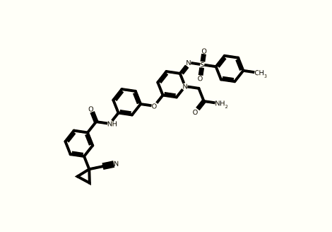 Cc1ccc(S(=O)(=O)N=c2ccc(Oc3cccc(NC(=O)c4cccc(C5(C#N)CC5)c4)c3)cn2CC(N)=O)cc1